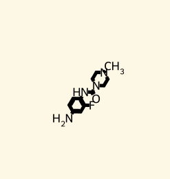 CN1CCN(C(=O)Nc2ccc(N)cc2F)CC1